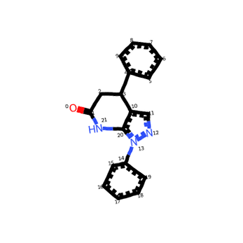 O=C1CC(c2ccccc2)c2cnn(-c3ccccc3)c2N1